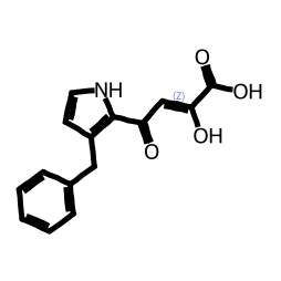 O=C(O)/C(O)=C/C(=O)c1[nH]ccc1Cc1ccccc1